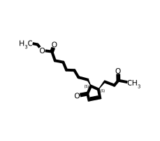 CCOC(=O)CCCCCC[C@@H]1C(=O)C=C[C@@H]1CCC(C)=O